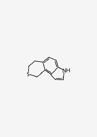 c1cc2c3c(ccc2[nH]1)CCSC3